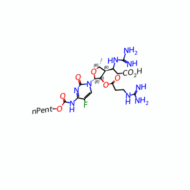 CCCCCOC(=O)Nc1nc(=O)n([C@@H]2O[C@H](C)[C@@H](C(CC(=O)O)NC(=N)N)[C@H]2OC(=O)CCNC(=N)N)cc1F